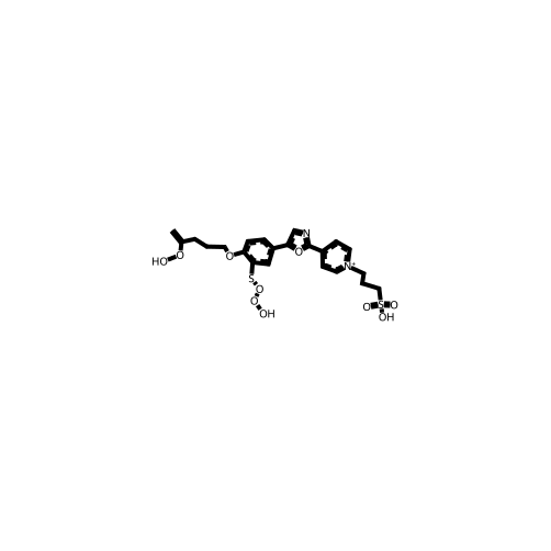 C=C(CCCOc1ccc(-c2cnc(-c3cc[n+](CCCS(=O)(=O)O)cc3)o2)cc1SOOO)OO